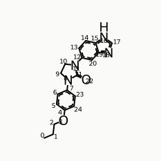 CCCOc1ccc(N2CCN(c3ccc4[nH]cnc4c3)C2=O)cc1